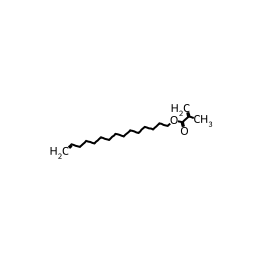 C=CCCCCCCCCCCCCCOC(=O)C(=C)C